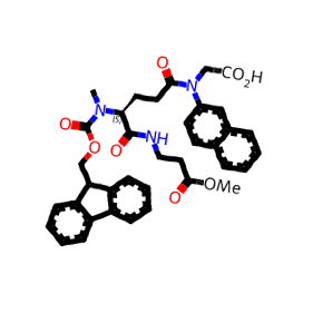 COC(=O)CCNC(=O)[C@H](CCC(=O)N(CC(=O)O)c1ccc2ccccc2c1)N(C)C(=O)OCC1c2ccccc2-c2ccccc21